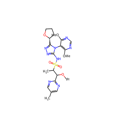 COc1ncnc(OC)c1-n1c(NS(=O)(=O)C(C)C(OC(C)C)c2ncc(C)cn2)nnc1[C@@H]1CCCO1